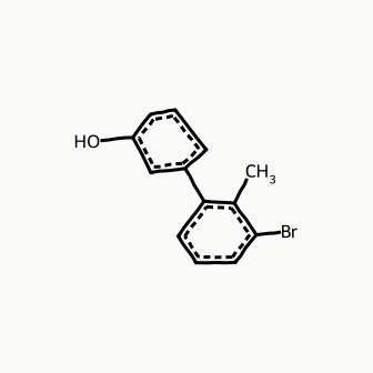 Cc1c(Br)cccc1-c1cccc(O)c1